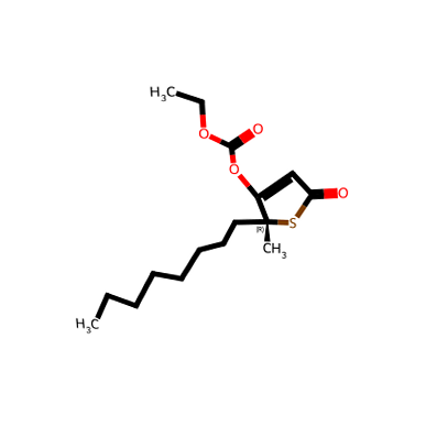 CCCCCCCC[C@@]1(C)SC(=O)C=C1OC(=O)OCC